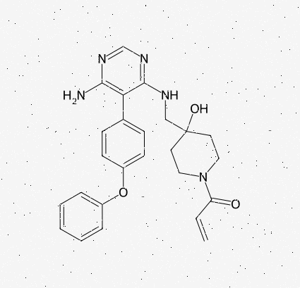 C=CC(=O)N1CCC(O)(CNc2ncnc(N)c2-c2ccc(Oc3ccccc3)cc2)CC1